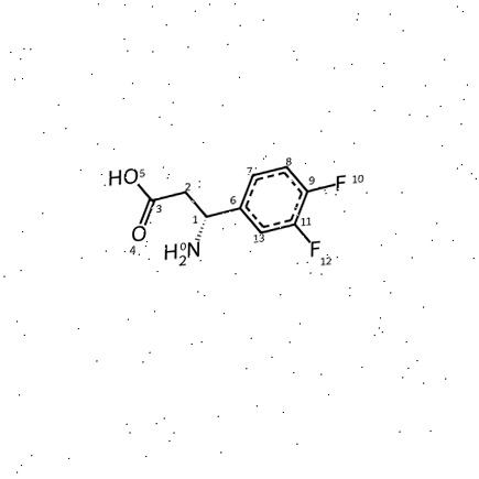 N[C@H](CC(=O)O)c1ccc(F)c(F)c1